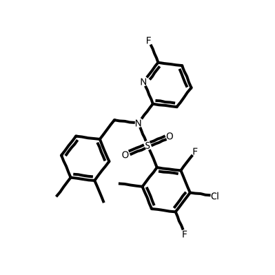 Cc1ccc(CN(c2cccc(F)n2)S(=O)(=O)c2c(C)cc(F)c(Cl)c2F)cc1C